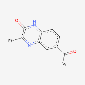 CCc1nc2cc(C(=O)C(C)C)ccc2[nH]c1=O